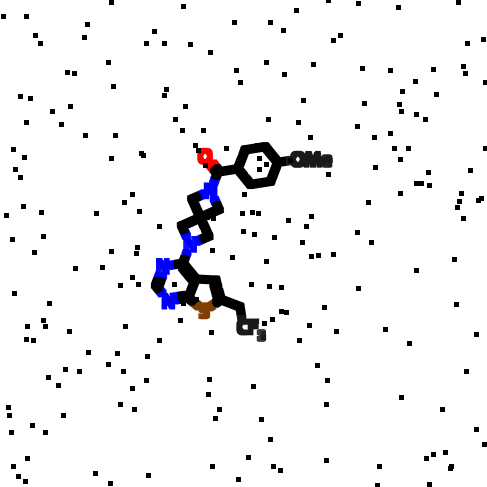 COC1CCC(C(=O)N2CC3(C2)CN(c2ncnc4sc(CC(F)(F)F)cc24)C3)CC1